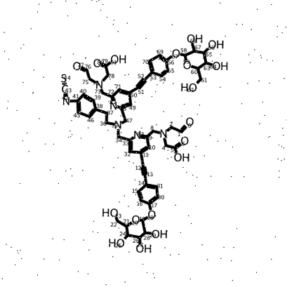 O=CCN(CC(=O)O)Cc1cc(C#Cc2ccc(OC3OC(CO)C(O)C(O)C3O)cc2)cc(CN(CCc2ccc(N=C=S)cc2)Cc2cc(C#Cc3ccc(OC4OC(CO)C(O)C(O)C4O)cc3)cc(CN(CC=O)CC(=O)O)n2)n1